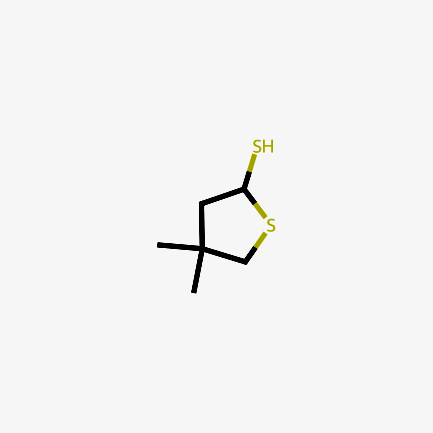 CC1(C)CSC(S)C1